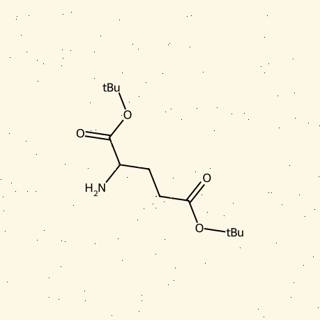 CC(C)(C)OC(=O)[CH]CC(N)C(=O)OC(C)(C)C